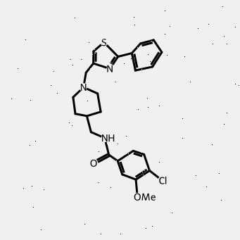 COc1cc(C(=O)NCC2CCN(Cc3csc(-c4ccccc4)n3)CC2)ccc1Cl